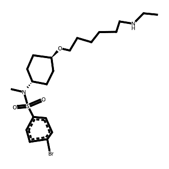 CCNCCCCCCO[C@H]1CC[C@H](N(C)S(=O)(=O)c2ccc(Br)cc2)CC1